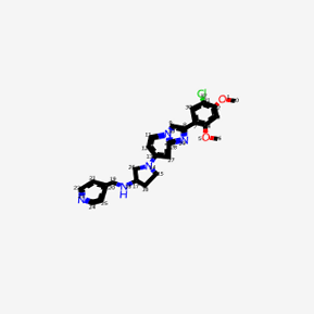 COc1cc(OC)c(-c2cn3ccc(N4CCC(NCc5ccncc5)C4)cc3n2)cc1Cl